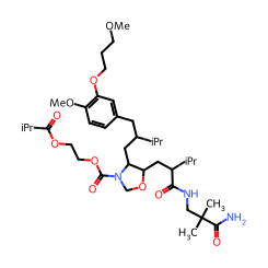 COCCCOc1cc(CC(CC2C(CC(C(=O)NCC(C)(C)C(N)=O)C(C)C)OCN2C(=O)OCCOC(=O)C(C)C)C(C)C)ccc1OC